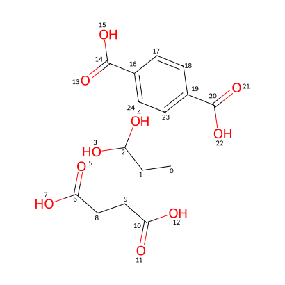 CCC(O)O.O=C(O)CCC(=O)O.O=C(O)c1ccc(C(=O)O)cc1